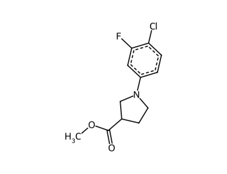 COC(=O)C1CCN(c2ccc(Cl)c(F)c2)C1